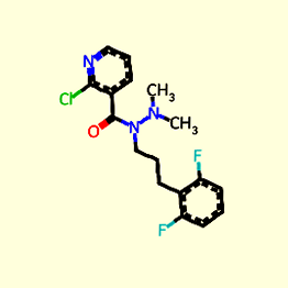 CN(C)N(CCCc1c(F)cccc1F)C(=O)c1cccnc1Cl